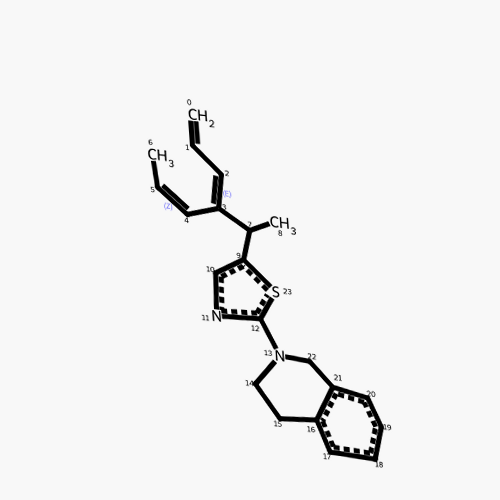 C=C/C=C(\C=C/C)C(C)c1cnc(N2CCc3ccccc3C2)s1